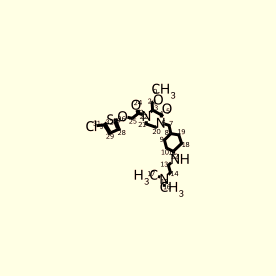 COCC1C(=O)N(CC2CCC(NCCN(C)C)CC2)CCN1C(=O)COc1ccc(Cl)s1